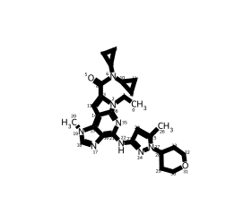 CCn1c(C(=O)N(C2CC2)C2CC2)cc2c3c(ncn3C)c(Nc3cc(C)n(C4CCOCC4)n3)nc21